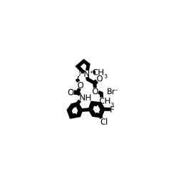 CCOC(=O)C[N+]1(C)CCC[C@H]1COC(=O)Nc1ccccc1-c1ccc(F)c(Cl)c1.[Br-]